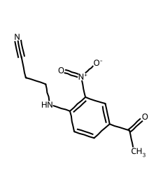 CC(=O)c1ccc(NCCC#N)c([N+](=O)[O-])c1